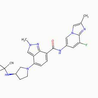 Cc1cn2cc(NC(=O)c3ccc(N4CC[C@@H](NC5(C#N)CC5)C4)c4cn(C)nc34)cc(F)c2n1